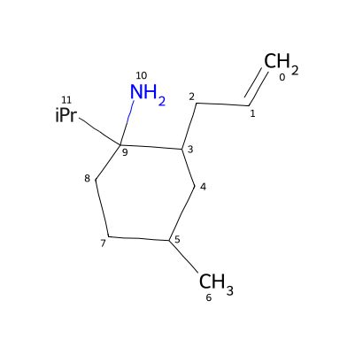 C=CCC1CC(C)CCC1(N)C(C)C